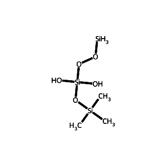 C[Si](C)(C)O[Si](O)(O)OO[SiH3]